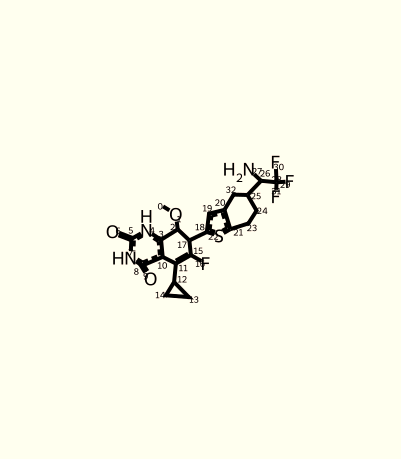 COC1c2[nH]c(=O)[nH]c(=O)c2C(C2CC2)=C(F)C1c1cc2c(s1)CCC(C(N)C(F)(F)F)C2